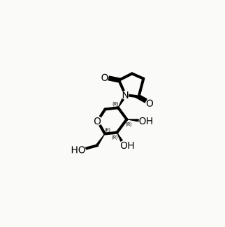 O=C1CCC(=O)N1[C@@H]1CO[C@H](CO)[C@H](O)[C@@H]1O